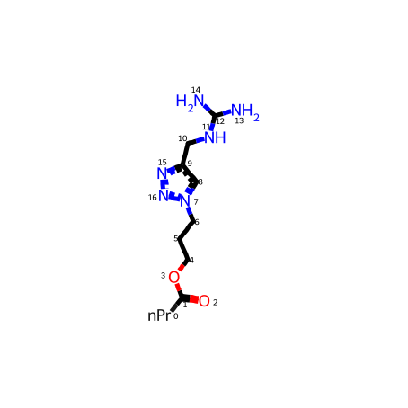 CCCC(=O)OCCCn1cc(CNC(N)N)nn1